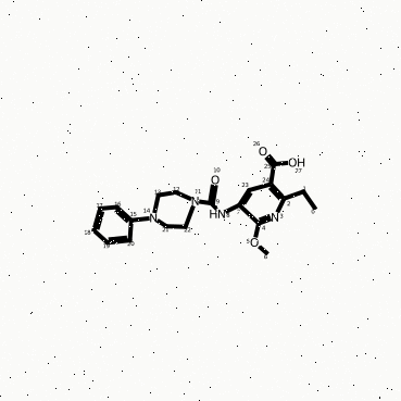 CCc1nc(OC)c(NC(=O)N2CCN(c3ccccc3)CC2)cc1C(=O)O